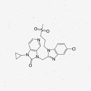 CS(=O)(=O)CCCn1c(Cn2c(=O)n(C3CC3)c3ccncc32)nc2cc(Cl)ccc21